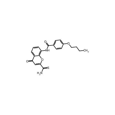 CCCCOc1ccc(C(=O)Nc2cccc3c(=O)cc(C(N)=S)oc23)cc1